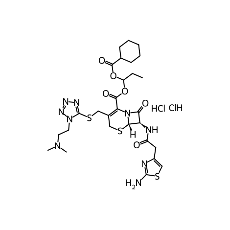 CCC(OC(=O)C1=C(CSc2nnnn2CCN(C)C)CS[C@H]2[C@H](NC(=O)Cc3csc(N)n3)C(=O)N12)OC(=O)C1CCCCC1.Cl.Cl